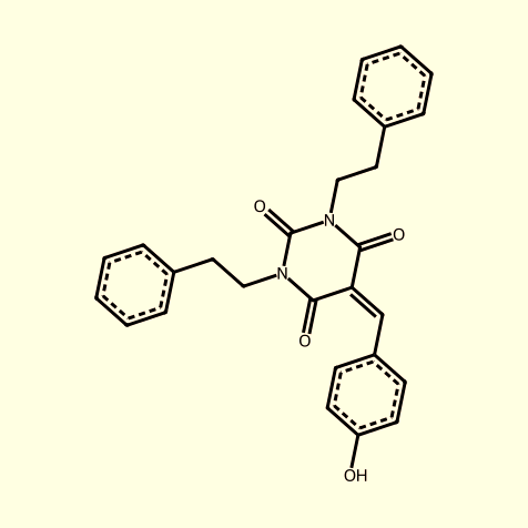 O=C1C(=Cc2ccc(O)cc2)C(=O)N(CCc2ccccc2)C(=O)N1CCc1ccccc1